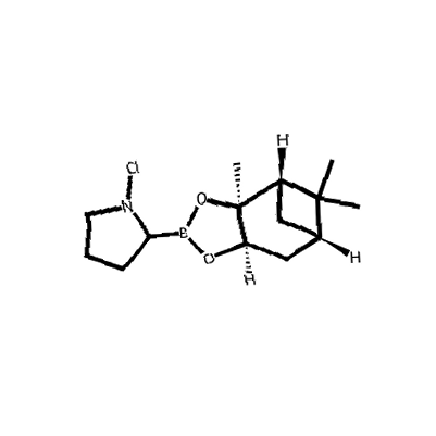 CC1(C)[C@@H]2C[C@H]3OB(C4CCCN4Cl)O[C@@]3(C)[C@H]1C2